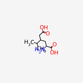 CC(C)C(CC(=O)O)CC(N)C(=O)O